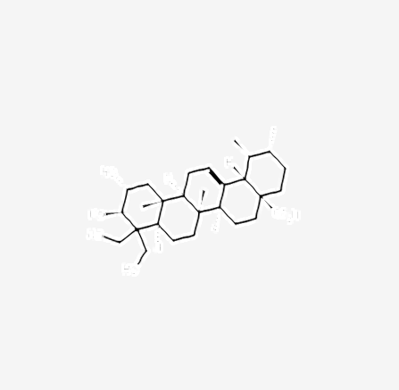 C[C@H]1[C@H](C)CC[C@]2(C(=O)O)CC[C@]3(C)C(=CC[C@@H]4[C@@]5(C)C[C@@H](O)[C@H](O)C(CO)(CO)[C@@H]5CC[C@]43C)[C@H]12